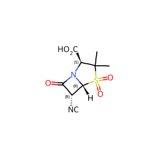 [C-]#[N+][C@@H]1C(=O)N2[C@@H](C(=O)O)C(C)(C)S(=O)(=O)[C@H]12